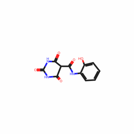 O=C1NC(=O)C(C(=O)Nc2ccccc2O)C(=O)N1